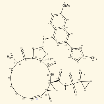 COc1ccc2c(O[C@@H]3C[C@H]4C(=O)N[C@]5(C(=O)NS(=O)(=O)C6(C)CC6)C[C@H]5/C=C\CCCCO[C@H](C)C(=O)N4C3)cc(-n3ccc(C)n3)nc2c1